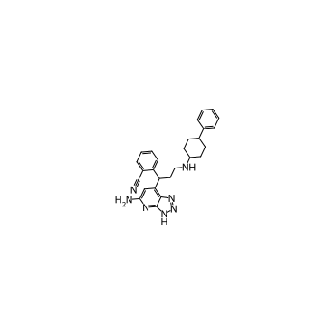 N#Cc1ccccc1C(CCNC1CCC(c2ccccc2)CC1)c1cc(N)nc2[nH]nnc12